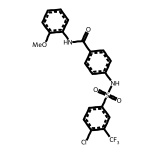 COc1ccccc1NC(=O)c1ccc(NS(=O)(=O)c2ccc(Cl)c(C(F)(F)F)c2)cc1